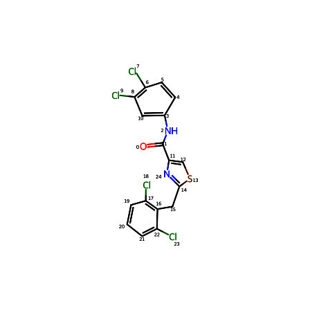 O=C(Nc1ccc(Cl)c(Cl)c1)c1csc(Cc2c(Cl)cccc2Cl)n1